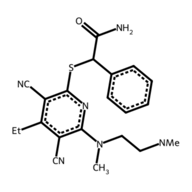 CCc1c(C#N)c(SC(C(N)=O)c2ccccc2)nc(N(C)CCNC)c1C#N